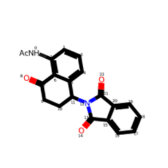 CC(=O)Nc1cccc2c1C(=O)CCC2N1C(=O)c2ccccc2C1=O